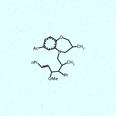 CCC/C=C/C(OC)C(C(C)C)C(C)CN1CC(C)COc2ccc(C(C)=O)cc21